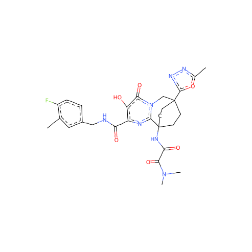 Cc1nnc(C23CCC(NC(=O)C(=O)N(C)C)(CC2)c2nc(C(=O)NCc4ccc(F)c(C)c4)c(O)c(=O)n2C3)o1